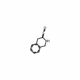 O=C=C1Cc2ccccc2[C]N1